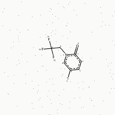 O=c1ccc(I)cn1CC(F)(F)F